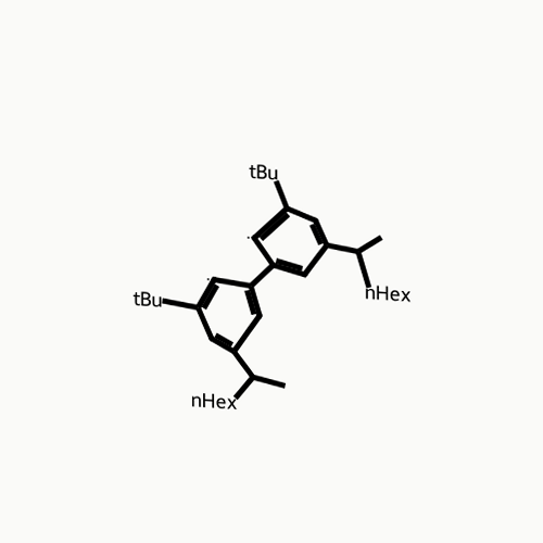 CCCCCCC(C)c1cc(-c2[c]c(C(C)(C)C)cc(C(C)CCCCCC)c2)[c]c(C(C)(C)C)c1